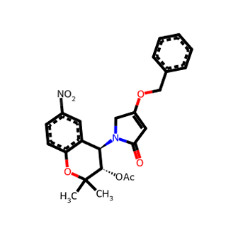 CC(=O)O[C@H]1[C@H](N2CC(OCc3ccccc3)=CC2=O)c2cc([N+](=O)[O-])ccc2OC1(C)C